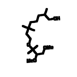 COCC(OC)C(C)(C)OCCC(C)(C)CCCC(C)CO